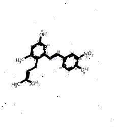 CC(C)=CCc1c(C)cc(O)cc1/C=C/c1ccc(O)c([N+](=O)[O-])c1